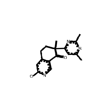 Cc1cc(C2(C)CCc3cc(Cl)ncc3C2=O)nc(C)n1